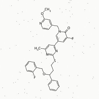 COc1cc(Cn2cc(-c3cc(C)nc(SCCC(OCc4ccccc4F)c4ccccc4)n3)cc(F)c2=O)ccn1